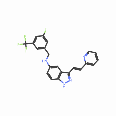 Fc1cc(CNc2ccc3[nH]nc(/C=C/c4ccccn4)c3c2)cc(C(F)(F)F)c1